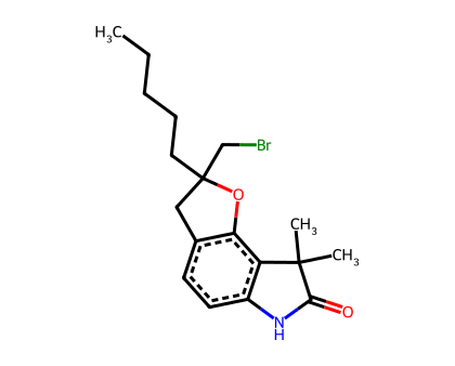 CCCCCC1(CBr)Cc2ccc3c(c2O1)C(C)(C)C(=O)N3